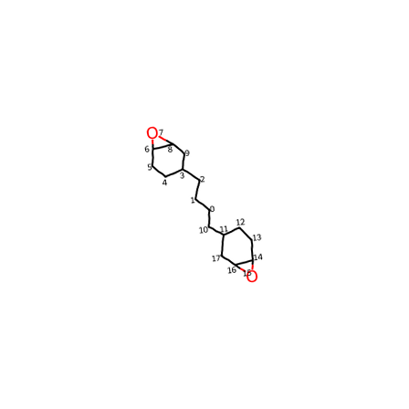 C(CCC1CCC2OC2C1)CC1CCC2OC2C1